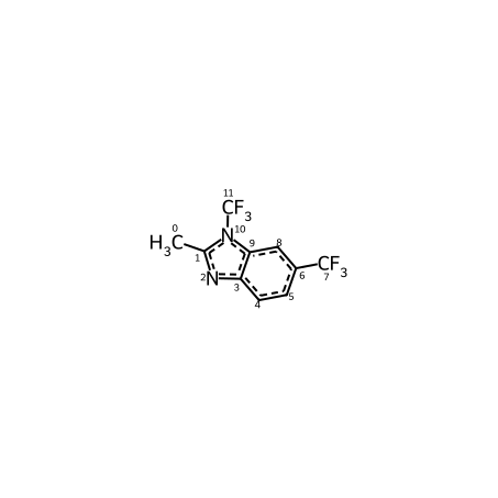 Cc1nc2ccc(C(F)(F)F)cc2n1C(F)(F)F